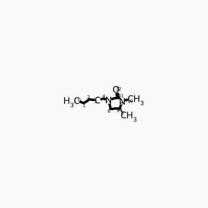 CCCCCN1C[C@@H](C)N(C)C1=O